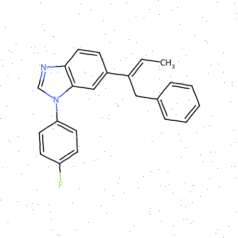 C/C=C(\Cc1ccccc1)c1ccc2ncn(-c3ccc(F)cc3)c2c1